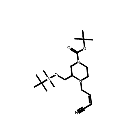 CC(C)(C)OC(=O)N1CCN(C/C=C\C#N)C(CO[Si](C)(C)C(C)(C)C)C1